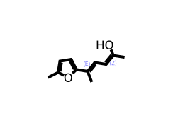 C/C(O)=C/C=C(\C)c1ccc(C)o1